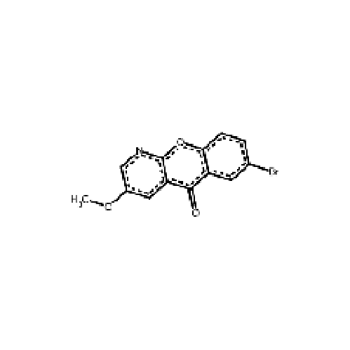 COc1cnc2oc3ccc(Br)cc3c(=O)c2c1